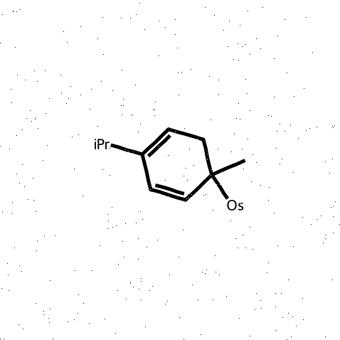 CC(C)C1=CC[C](C)([Os])C=C1